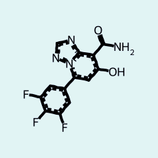 NC(=O)c1c(O)cc(-c2cc(F)c(F)c(F)c2)n2ncnc12